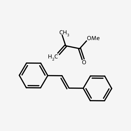 C(=Cc1ccccc1)c1ccccc1.C=C(C)C(=O)OC